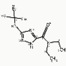 CCN(CC)C(=O)c1nc(SC(F)(F)Br)n[nH]1